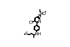 CON(F)N1c2cc(Cl)c(-c3ccc(NC(C)CCSC)cc3)nc21